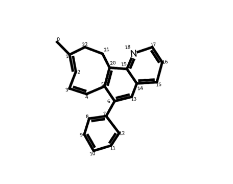 C/C1=C\C=C/c2c(-c3ccccc3)cc3cccnc3c2CC1